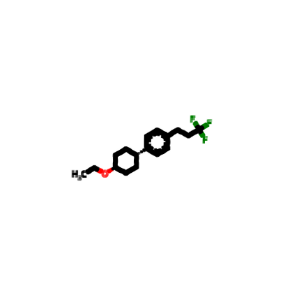 CCO[C@H]1CC[C@H](c2ccc(CCC(F)(F)F)cc2)CC1